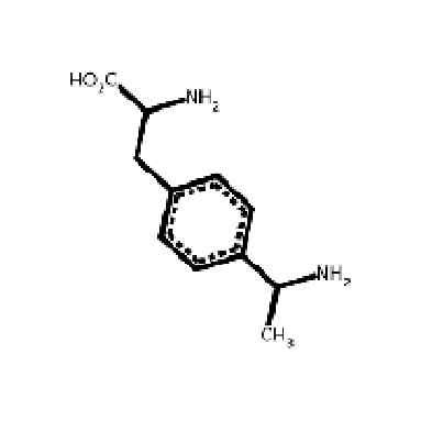 CC(N)c1ccc(CC(N)C(=O)O)cc1